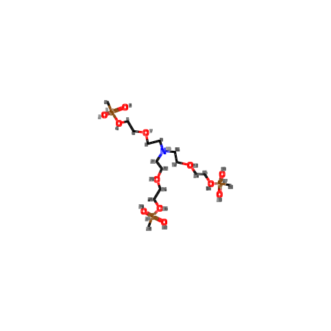 CS(=O)(=O)OCCOCCN(CCOCCOS(C)(=O)=O)CCOCCOS(C)(=O)=O